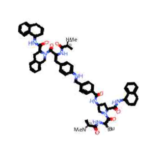 CN[C@@H](C)C(=O)NC(Cc1ccc(NCc2ccc(C(=O)NC3CC(C(=O)NC4CCCc5ccccc54)N(C(=O)C(NC(=O)[C@H](C)NC)C(C)(C)C)C3)cc2)cc1)C(=O)N1Cc2ccccc2CC1C(=O)NC1CCCc2ccccc21